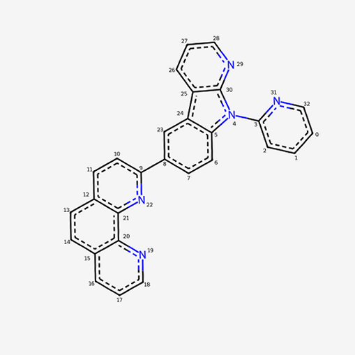 c1ccc(-n2c3ccc(-c4ccc5ccc6cccnc6c5n4)cc3c3cccnc32)nc1